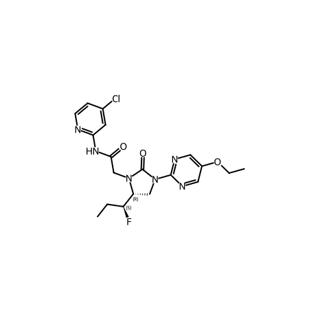 CCOc1cnc(N2C[C@H]([C@@H](F)CC)N(CC(=O)Nc3cc(Cl)ccn3)C2=O)nc1